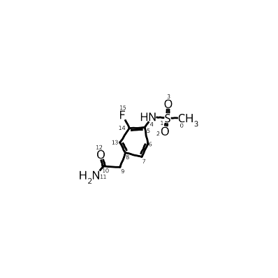 CS(=O)(=O)Nc1ccc(CC(N)=O)cc1F